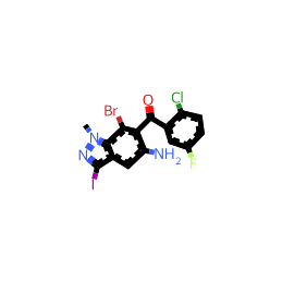 Cn1nc(I)c2cc(N)c(C(=O)c3cc(F)ccc3Cl)c(Br)c21